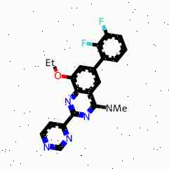 CCOc1cc(-c2cccc(F)c2F)cc2c(NC)nc(-c3ccncn3)nc12